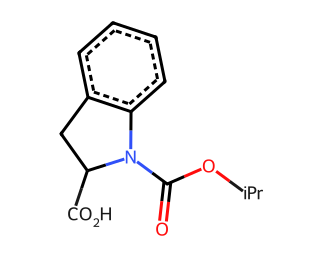 CC(C)OC(=O)N1c2ccccc2CC1C(=O)O